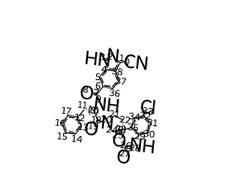 N#Cc1n[nH]c2cc(C(=O)N[C@@H](Cc3ccccc3)C(=O)N3CC[C@@]4(C3)OC(=O)Nc3ccc(Cl)cc34)ccc12